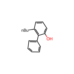 CCCCc1cccc(O)c1-c1ccccc1